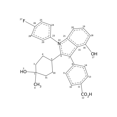 CC1(O)CCC(c2c(-c3ccc(C(=O)O)cc3)c3c(O)cccc3n2-c2ccc(F)cc2)CC1